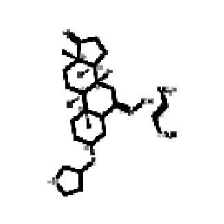 C[C@]12CC[C@@H](SC3CCNC3)CC1/C(=N/O)C[C@@H]1[C@@H]2CC[C@]2(C)C(=O)CC[C@@H]12.O=C(O)/C=C/C(=O)O